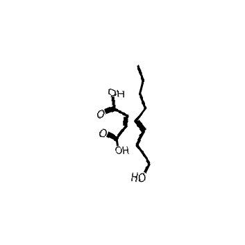 CCCCC=CCCO.O=C(O)/C=C\C(=O)O